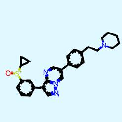 [O-][S+](c1cccc(-c2cnn3cc(-c4ccc(CCN5CCCCC5)cc4)cnc23)c1)C1CC1